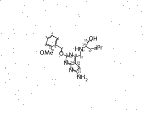 COc1ccccc1COc1nc(CN[C@@H](CO)CC(C)C)c2sc(N)nc2n1